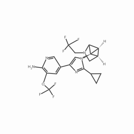 Nc1ncc(-c2cn([C@@]34C5[C@H]3[C@H]4CN5CC(F)(F)F)c(C3CC3)n2)cc1OC(F)(F)F